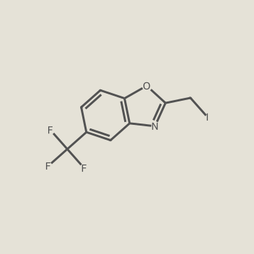 FC(F)(F)c1ccc2oc(CI)nc2c1